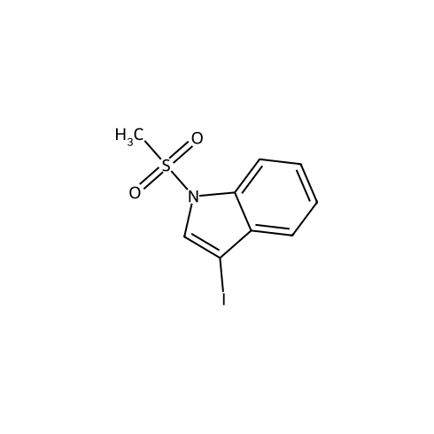 CS(=O)(=O)n1cc(I)c2ccccc21